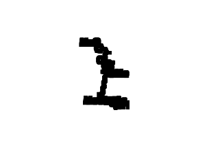 COC1=CC(C[C@@H](C)CCC(=O)C(C)=C=C(C)CC(OC)C(=O)C(C)CC/C=C/C=C/C=C(\C)C(CCCCC(C)C(O)(O)C(C)=O)OC)CCC1